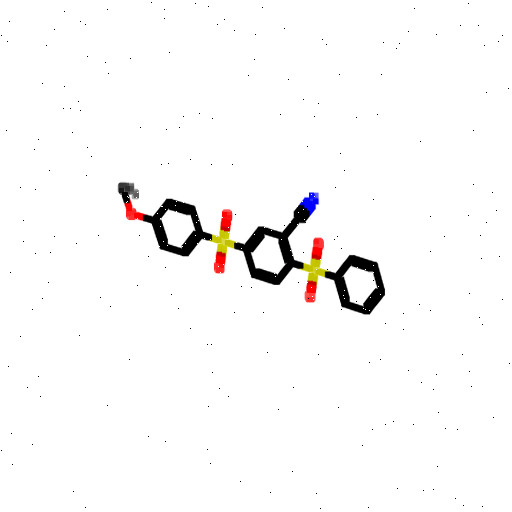 COc1ccc(S(=O)(=O)c2ccc(S(=O)(=O)c3ccccc3)c(C#N)c2)cc1